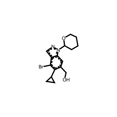 OCc1cc2c(cnn2C2CCCCO2)c(Br)c1C1CC1